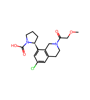 COCC(=O)N1CCc2cc(Cl)cc([C@@H]3CCCN3C(=O)O)c2C1